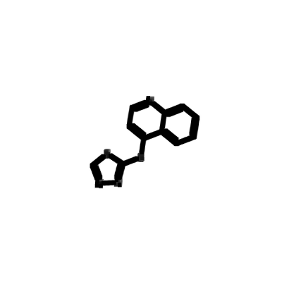 c1ccc2c(Sc3nncs3)ccnc2c1